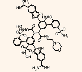 N=C(N)c1ccc2[nH]c(-c3cc(C(C(=O)NCCN4CCOCC4)C(C(=O)O)c4cc(-c5nc6cc(C(=N)N)ccc6[nH]5)c(S(=O)(=O)NO)c(-c5ccccc5S(=O)(=O)NO)c4)cc(-c4cc(S(N)(=O)=O)ccc4O)c3O)nc2c1